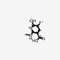 CNc1nc(O)c(F)cc1C(=O)O